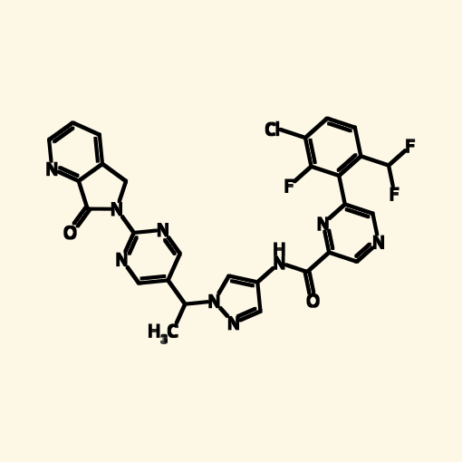 CC(c1cnc(N2Cc3cccnc3C2=O)nc1)n1cc(NC(=O)c2cncc(-c3c(C(F)F)ccc(Cl)c3F)n2)cn1